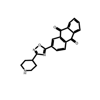 O=C1c2ccccc2C(=O)c2cc(-c3nc(C4CCNCC4)no3)ccc21